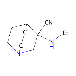 CCNC1(C#N)CN2CCC1CC2